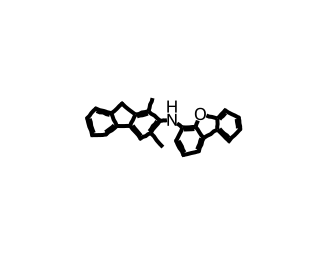 Cc1cc2c(c(C)c1Nc1cccc3c1oc1ccccc13)Cc1ccccc1-2